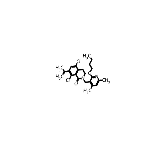 C=C(C)c1cc(Cl)c2c(c1Cl)C(=O)N(Cc1c(C)cc(C)nc1OCCCC)CC2